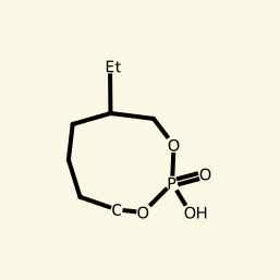 CCC1CCCCOP(=O)(O)OC1